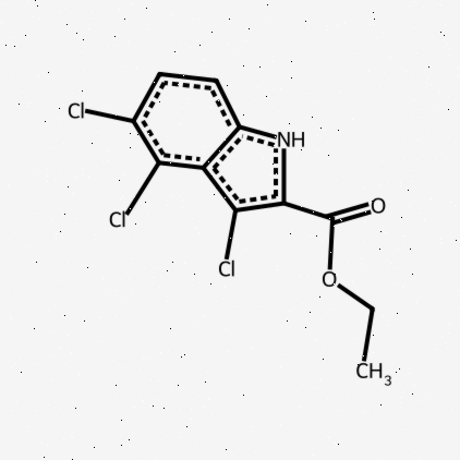 CCOC(=O)c1[nH]c2ccc(Cl)c(Cl)c2c1Cl